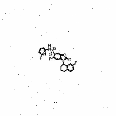 O=c1oc2cc(S(=O)(=O)Nc3cccc(F)n3)c(F)cc2n1C1CCCc2ccc(F)cc21